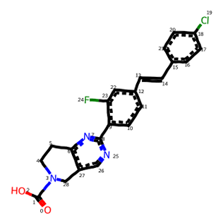 O=C(O)N1CCc2nc(-c3ccc(C=Cc4ccc(Cl)cc4)cc3F)ncc2C1